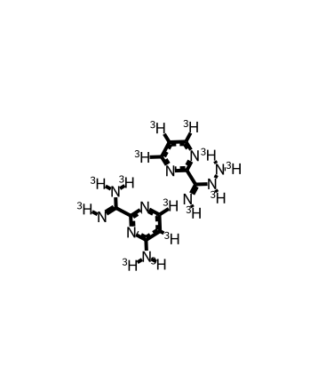 [3H]N=C(c1nc([3H])c([3H])c(N([3H])[3H])n1)N([3H])[3H].[3H]N=C(c1nc([3H])c([3H])c([3H])n1)N([3H])N([3H])[3H]